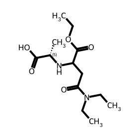 CCOC(=O)C(CC(=O)N(CC)CC)N[C@@H](C)C(=O)O